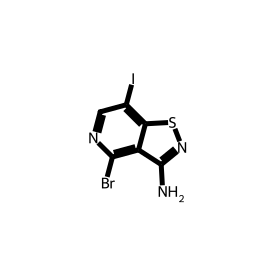 Nc1nsc2c(I)cnc(Br)c12